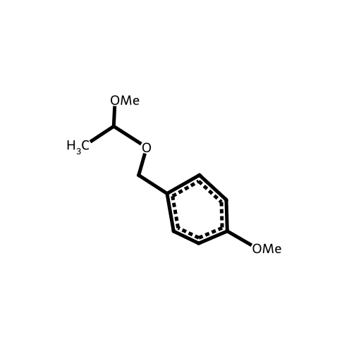 COc1ccc(COC(C)OC)cc1